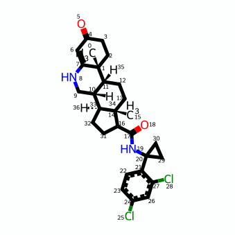 C[C@]12CCC(=O)C=C1NC[C@@H]1[C@H]2CC[C@]2(C)C(C(=O)NC3(c4ccc(Cl)cc4Cl)CC3)CC[C@@H]12